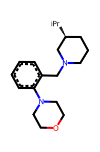 CC(C)[C@H]1CCCN(Cc2ccccc2N2CCOCC2)C1